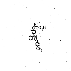 CCC(Oc1ccc(C(=NOCc2ccc(C(F)(F)F)cc2)C2CCCCC2)cc1C)C(=O)O